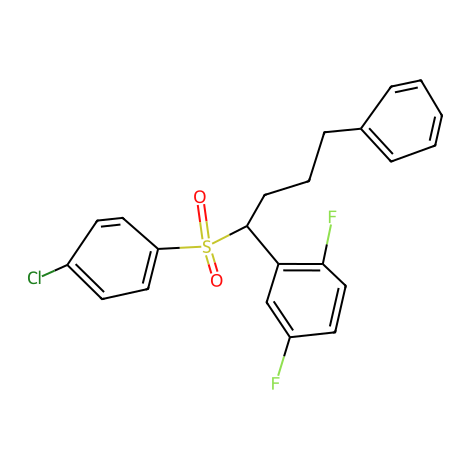 O=S(=O)(c1ccc(Cl)cc1)C(CCCc1ccccc1)c1cc(F)ccc1F